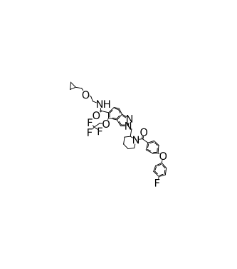 O=C(NCCOCC1CC1)c1ccc2nn(CC3CCCCN3C(=O)c3ccc(Oc4ccc(F)cc4)cc3)cc2c1OCC(F)(F)F